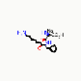 NCCCCCCC(=O)[C@H](Cc1ccccc1)NC(=O)[C@H]1N[C@@H]1C(=O)O.[Na]